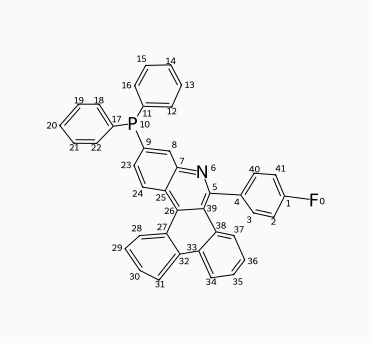 Fc1ccc(-c2nc3cc(P(c4ccccc4)c4ccccc4)ccc3c3c4ccccc4c4ccccc4c23)cc1